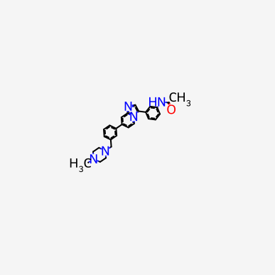 CC(=O)Nc1cccc(-c2cnc3cc(-c4cccc(CN5CCN(C)CC5)c4)ccn23)c1